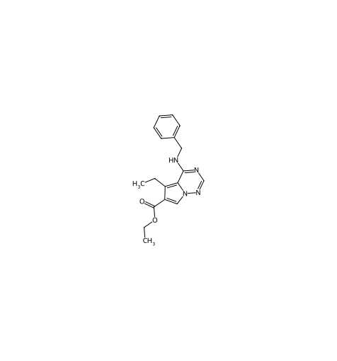 CCOC(=O)c1cn2ncnc(NCc3ccccc3)c2c1CC